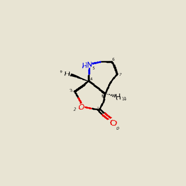 O=C1OC[C@@H]2NCC[C@@H]12